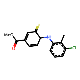 COC(=O)C1=CC(=S)C(Nc2cccc(Cl)c2C)C=C1